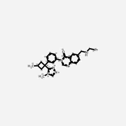 CC(C)CNCc1ccc2ncn(-c3cccc(C4(c5nncn5C)CC(C)C4)c3)c(=O)c2c1